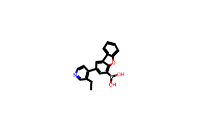 CCc1cnccc1-c1cc(B(O)O)c2oc3ccccc3c2c1